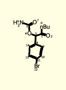 CCCCC(=O)C(OC(N)=O)c1ccc(Br)cc1